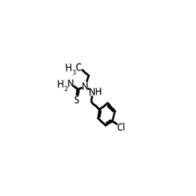 CCN(NCc1ccc(Cl)cc1)C(N)=S